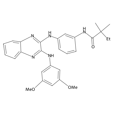 CCC(C)(C)C(=O)Nc1cccc(Nc2nc3ccccc3nc2Nc2cc(OC)cc(OC)c2)c1